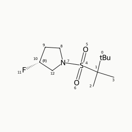 CC(C)(C)C(C)(C)S(=O)(=O)N1CC[C@@H](F)C1